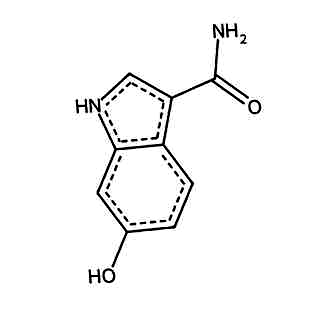 NC(=O)c1c[nH]c2cc(O)ccc12